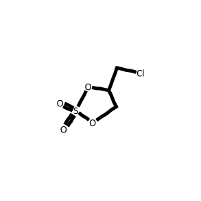 O=S1(=O)OCC(CCl)O1